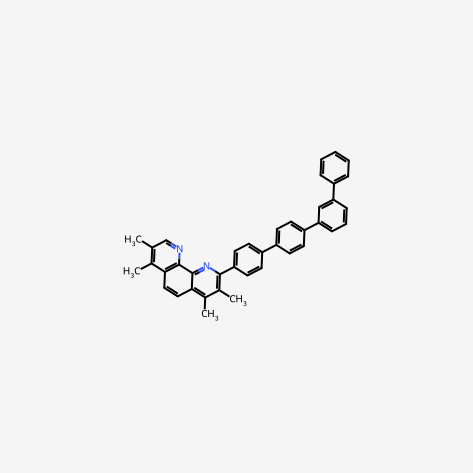 Cc1cnc2c(ccc3c(C)c(C)c(-c4ccc(-c5ccc(-c6cccc(-c7ccccc7)c6)cc5)cc4)nc32)c1C